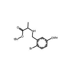 COc1ccc(Br)c(CNC(C)C(=O)OC(C)(C)C)c1